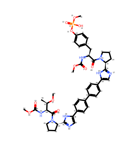 COC(=O)N[C@@H](Cc1ccc(OP(=O)(O)OC)cc1)C(=O)N1CCC[C@H]1c1ncc(-c2ccc(-c3ccc(-c4cnc([C@@H]5CCCN5C(=O)[C@@H](NC(=O)OC)[C@@H](C)OC)[nH]4)cc3)cc2)[nH]1